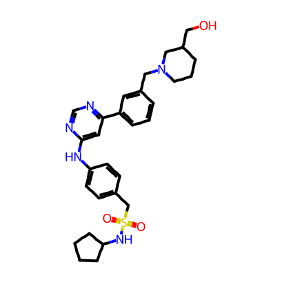 O=S(=O)(Cc1ccc(Nc2cc(-c3cccc(CN4CCCC(CO)C4)c3)ncn2)cc1)NC1CCCC1